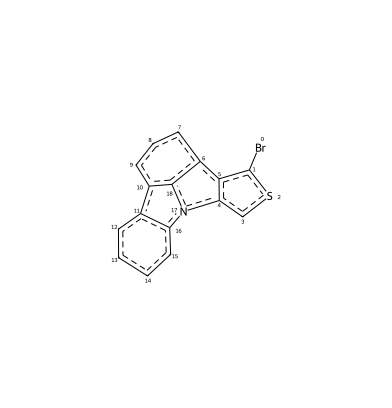 Brc1scc2c1c1cccc3c4ccccc4n2c31